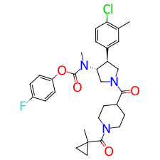 Cc1cc([C@H]2CN(C(=O)C3CCN(C(=O)C4(C)CC4)CC3)C[C@@H]2N(C)C(=O)Oc2ccc(F)cc2)ccc1Cl